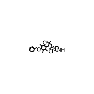 Cc1c(C)c(OCc2ccccc2)c(C)c2c1CC(C)(CC(CCl)N1CCNCC1)CO2